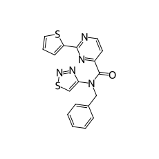 O=C(c1ccnc(-c2cccs2)n1)N(Cc1ccccc1)c1csnn1